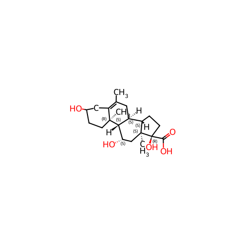 CC1=C2CC(O)CC[C@]2(C)[C@@H]2[C@@H](C1)[C@@H]1CC[C@](O)(C(=O)O)[C@@]1(C)C[C@@H]2O